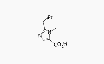 CC(C)Cc1ncc(C(=O)O)n1C